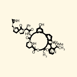 CCn1c(-c2cccnc2[C@H](C)OC)c2c3cc(ccc31)-c1cc(O)cc(c1)C[C@H](NC(=O)[C@H](C(C)C)N1CC[C@@]3(CCN(C[C@@H]4CN4)C3)C1=O)C(=O)N1CCC[C@H](N1)C(=O)OCC(C)(C)C2